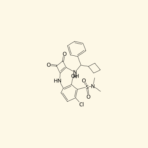 CN(C)S(=O)(=O)c1c(Cl)ccc(Nc2c(NC(c3ccccc3)C3CCC3)c(=O)c2=O)c1O